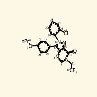 CCCOc1ccc(-c2c3ncn(CC(F)(F)F)c(=O)c3nn2-c2ccccc2Cl)cc1